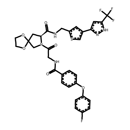 O=C(NCC(=O)N1CC2(C[C@H]1C(=O)NCc1cc(-c3cc(C(F)(F)F)[nH]n3)cs1)OCCO2)c1ccc(Oc2ccc(F)cc2)cc1